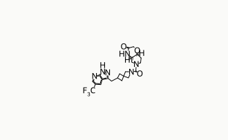 O=C1CO[C@H]2CCN(C(=O)N3CC4(CC(Cc5n[nH]c6ncc(C(F)(F)F)cc56)C4)C3)C[C@H]2N1